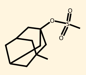 CC12CC3CC(C1)CC(OS(C)(=O)=O)(C3)C2